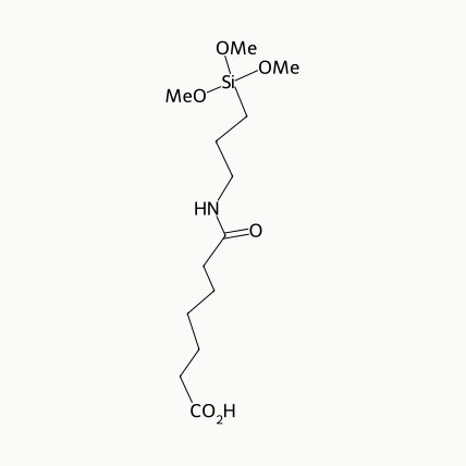 CO[Si](CCCNC(=O)CCCCCC(=O)O)(OC)OC